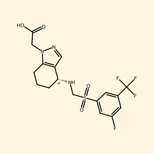 O=C(O)Cn1ncc2c1CCC[C@H]2NCS(=O)(=O)c1cc(F)cc(C(F)(F)F)c1